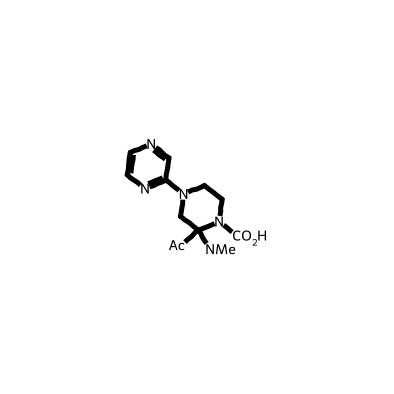 CNC1(C(C)=O)CN(c2cnccn2)CCN1C(=O)O